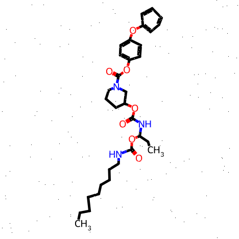 CCCCCCCCCNC(=O)OC(CC)NC(=O)OC1CCCN(C(=O)Oc2ccc(Oc3ccccc3)cc2)C1